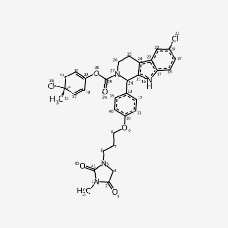 CN1C(=O)CN(CCCOc2ccc(C3c4[nH]c5ccc(Cl)cc5c4CCN3C(=O)OC3=CC[C@@](C)(Cl)C=C3)cc2)C1=O